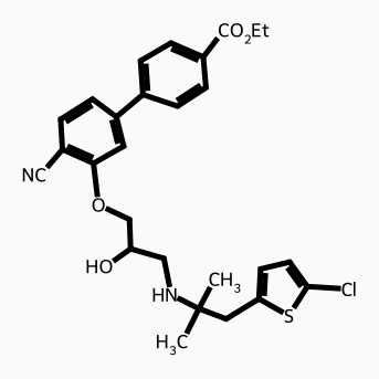 CCOC(=O)c1ccc(-c2ccc(C#N)c(OCC(O)CNC(C)(C)Cc3ccc(Cl)s3)c2)cc1